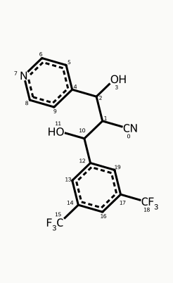 N#CC(C(O)c1ccncc1)C(O)c1cc(C(F)(F)F)cc(C(F)(F)F)c1